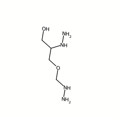 NNCOCC(CO)NN